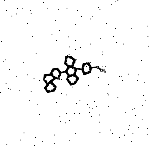 COc1ccc(-c2c3ccccc3c(-c3ccc4cnc5ccccc5c4n3)c3ccccc23)cc1